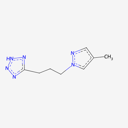 Cc1cnn(CCCc2nn[nH]n2)c1